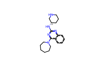 c1ccc2c(N3CCCCCC3)nc(N[C@H]3CCCNC3)nc2c1